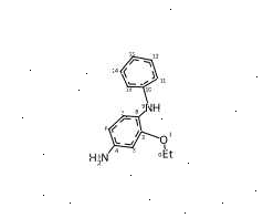 CCOc1cc(N)ccc1Nc1ccccc1